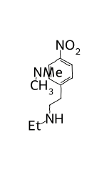 CCNCCc1ccc([N+](=O)[O-])cc1.CNC